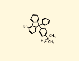 CS(C)(C)c1ccc(C2(c3ccccc3)c3ccccc3-c3c(Br)cccc32)cc1